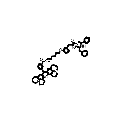 O=C(NCCCCCCOc1cccc(Cc2nc3c(Cc4ccccc4)[nH]c(-c4ccccc4)cn-3c2=O)c1)c1cccc(C2=c3cc4c5c(c3Oc3c2cc2c6c3CCCN6CCCC2)CCC[N+]=5CCCC4)c1